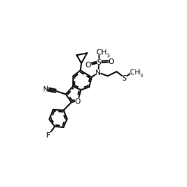 CSCCN(c1cc2oc(-c3ccc(F)cc3)c(C#N)c2cc1C1CC1)S(C)(=O)=O